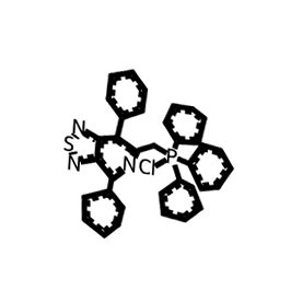 ClP(Cc1nc(-c2ccccc2)c2nsnc2c1-c1ccccc1)(c1ccccc1)(c1ccccc1)c1ccccc1